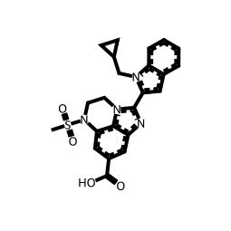 CS(=O)(=O)N1CCn2c(-c3cc4ccccc4n3CC3CC3)nc3cc(C(=O)O)cc1c32